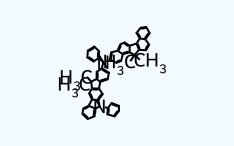 CC1(C)c2cc(N(c3ccccc3)c3ccc4c5c(ccc4c3)-c3c(ccc4ccccc34)C5(C)C)ccc2-c2cc3c(cc21)c1ccccc1n3-c1ccccc1